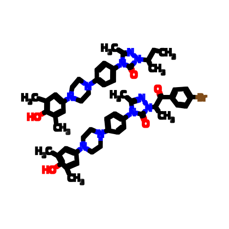 CCC(C)n1nc(C)n(-c2ccc(N3CCN(c4cc(C)c(O)c(C)c4)CC3)cc2)c1=O.Cc1cc(N2CCN(c3ccc(-n4c(C)nn(C(C)C(=O)c5ccc(Br)cc5)c4=O)cc3)CC2)cc(C)c1O